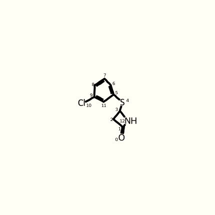 O=C1CC(Sc2cccc(Cl)c2)N1